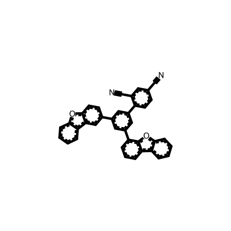 N#Cc1ccc(-c2cc(-c3ccc4oc5ccccc5c4c3)cc(-c3cccc4c3oc3ccccc34)c2)c(C#N)c1